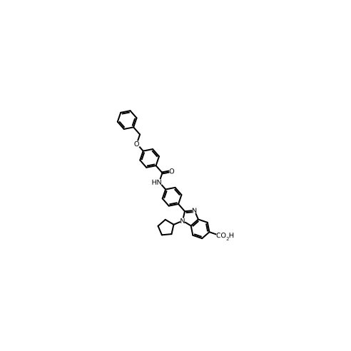 O=C(O)c1ccc2c(c1)nc(-c1ccc(NC(=O)c3ccc(OCc4ccccc4)cc3)cc1)n2C1CCCC1